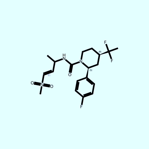 CC(/C=C/S(C)(=O)=O)NC(=O)N1CC[C@@H](C(C)(F)F)C[C@H]1c1ccc(F)cc1